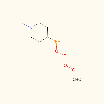 CN1CCC(POOOOC=O)CC1